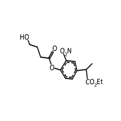 CCOC(=O)C(C)c1ccc(OC(=O)CCCO)c([N+](=O)[O-])c1